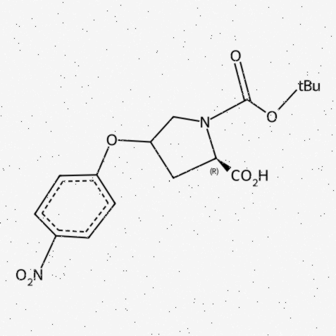 CC(C)(C)OC(=O)N1CC(Oc2ccc([N+](=O)[O-])cc2)C[C@@H]1C(=O)O